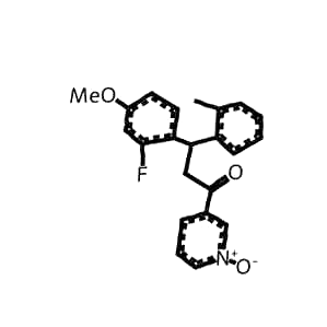 COc1ccc(C(CC(=O)c2ccc[n+]([O-])c2)c2ccccc2C)c(F)c1